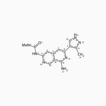 CNC(=O)Nc1cc2cc(-c3c[nH]nc3C)nc(N)c2cn1